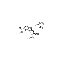 CC(=O)c1cc2c3c4c(ccc3n(CCCN(C)C)c2cc1O)C(=O)N(C)C4